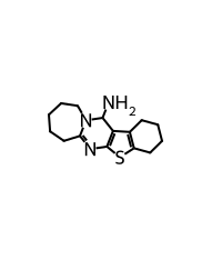 NC1c2c(sc3c2CCCC3)N=C2CCCCCN21